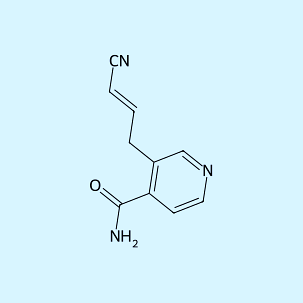 N#CC=CCc1cnccc1C(N)=O